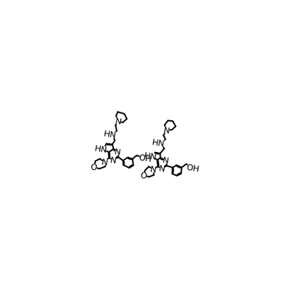 OCc1cccc(-c2nc(N3CCOCC3)c3[nH]cc(CNCCN4CCCCC4)c3n2)c1.OCc1cccc(-c2nc(N3CCOCC3)c3[nH]cc(CNCCN4CCCCC4)c3n2)c1